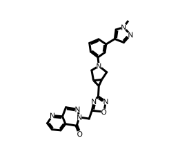 Cn1cc(-c2cccc(N3CC4C(C3)C4c3noc(Cn4ncc5ncccc5c4=O)n3)c2)cn1